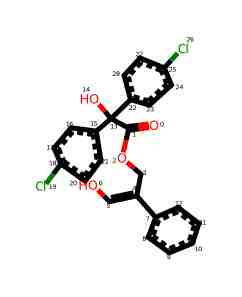 O=C(OCC(=CO)c1ccccc1)C(O)(c1ccc(Cl)cc1)c1ccc(Cl)cc1